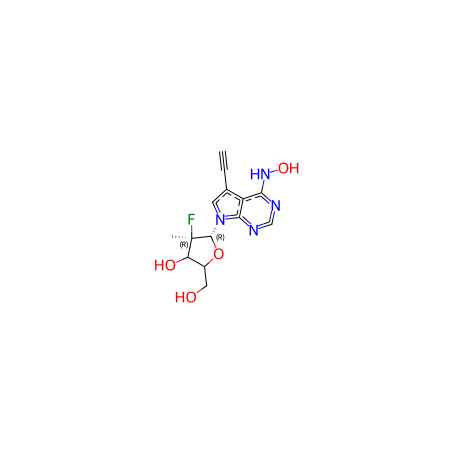 C#Cc1cn([C@@H]2OC(CO)C(O)[C@@]2(C)F)c2ncnc(NO)c12